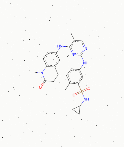 Cc1ccc(Nc2ncc(C)c(Nc3ccc4c(c3)CCC(=O)N4C)n2)cc1S(=O)(=O)NC1CC1